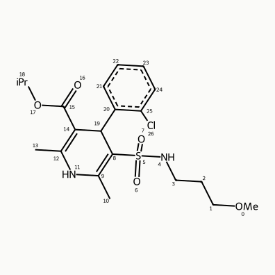 COCCCNS(=O)(=O)C1=C(C)NC(C)=C(C(=O)OC(C)C)C1c1ccccc1Cl